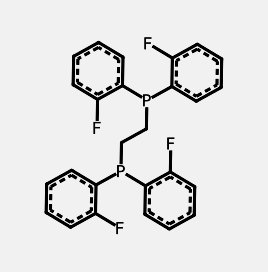 Fc1ccccc1P(CCP(c1ccccc1F)c1ccccc1F)c1ccccc1F